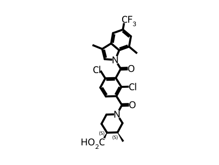 Cc1cn(C(=O)c2c(Cl)ccc(C(=O)N3CC[C@H](C(=O)O)[C@H](C)C3)c2Cl)c2c(C)cc(C(F)(F)F)cc12